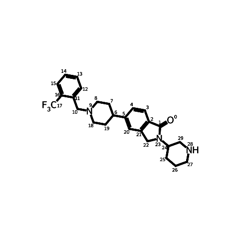 O=C1c2ccc(C3CCN(Cc4ccccc4C(F)(F)F)CC3)cc2CN1C1CCCNC1